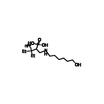 CCCC(CC)(CC)C(CNCCCCCCO)P(=O)(O)O